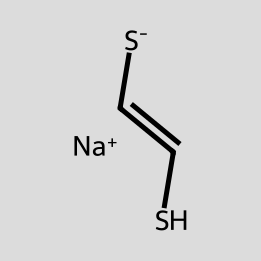 [Na+].[S-]C=CS